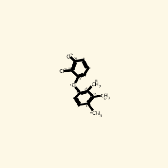 Cc1c[c]c(Oc2cccc(Cl)c2Cl)c(C)c1C